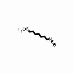 CSCCCCCCCN=C=O